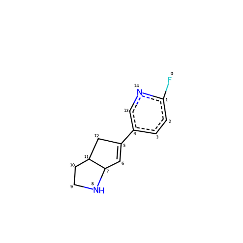 Fc1ccc(C2=CC3NCCC3C2)cn1